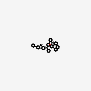 CC1(C)c2cc(-c3ccccc3)ccc2-c2ccc(N(c3ccccc3)c3ccc(-c4ccccc4-n4c5ccccc5c5c(-c6cccc7ccccc67)cccc54)cc3)cc21